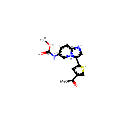 COC(=O)c1csc(-c2cnc3ccc(NC(=O)OC(C)(C)C)cn23)c1